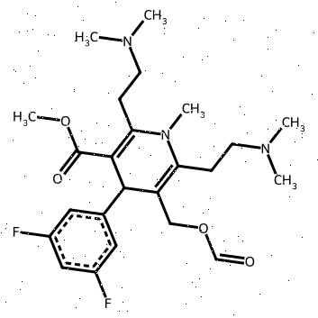 COC(=O)C1=C(CCN(C)C)N(C)C(CCN(C)C)=C(COC=O)C1c1cc(F)cc(F)c1